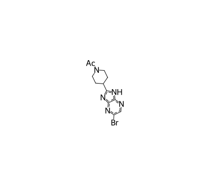 CC(=O)N1CCC(c2nc3nc(Br)cnc3[nH]2)CC1